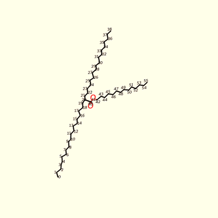 CCCCCCCCCCCCCCCCCCCCC(CCCCCCCCCCCCCCCCCC)C(=O)OCCCCCCCCCCCCCC